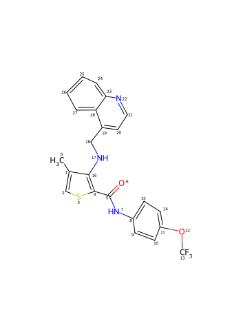 Cc1csc(C(=O)Nc2ccc(OC(F)(F)F)cc2)c1NCc1ccnc2ccccc12